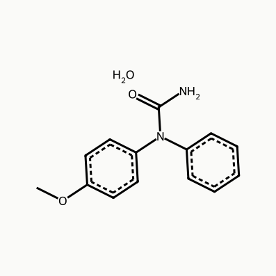 COc1ccc(N(C(N)=O)c2ccccc2)cc1.O